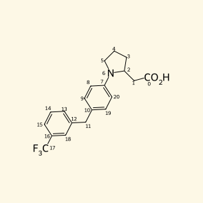 O=C(O)CC1CCCN1c1ccc(Cc2cccc(C(F)(F)F)c2)cc1